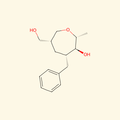 C[C@H]1OC[C@@H](CO)C[C@@H](Cc2ccccc2)[C@@H]1O